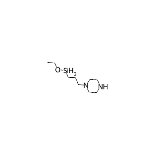 CCO[SiH2]CCCN1CCNCC1